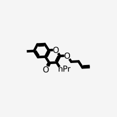 C=CCCOc1oc2ccc(C)cc2c(=O)c1CCC